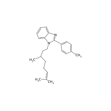 CC(C)=CCCC(C)CCn1c(-c2ccc(C)cc2)nc2ccccc21